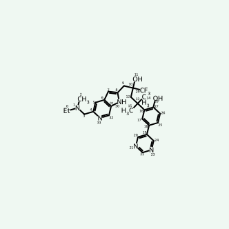 CCN(C)Cc1cc2cc(CC(O)(CC(C)(C)c3cc(-c4cncnc4)ccc3O)C(F)(F)F)[nH]c2cn1